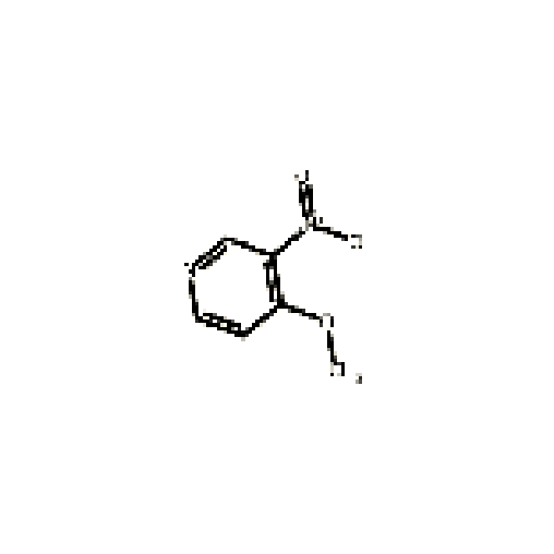 COc1ccn[c]c1[N+](=O)[O-]